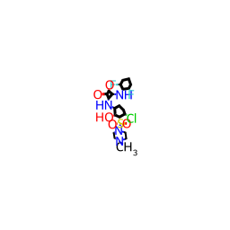 CN1CCN(S(=O)(=O)c2c(Cl)ccc(Nc3c(Nc4c(F)cccc4F)c(=O)c3=O)c2O)CC1